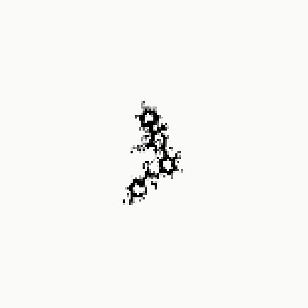 CN(C)[SH]1(=O)C[C@@](C)(c2cc(NC(=O)c3ccc(Cl)cn3)ccc2F)NC(=N)[C@]1(C)c1ccc(F)cc1